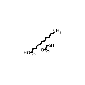 CCCCCCCCCCCC(=O)O.O=C(O)CS